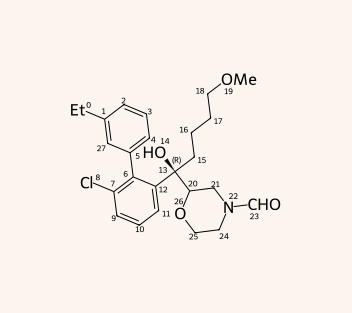 CCc1cccc(-c2c(Cl)cccc2[C@](O)(CCCCOC)C2CN(C=O)CCO2)c1